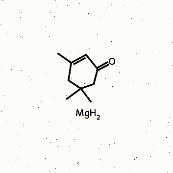 CC1=CC(=O)CC(C)(C)C1.[MgH2]